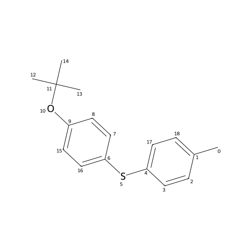 Cc1ccc(Sc2ccc(OC(C)(C)C)cc2)cc1